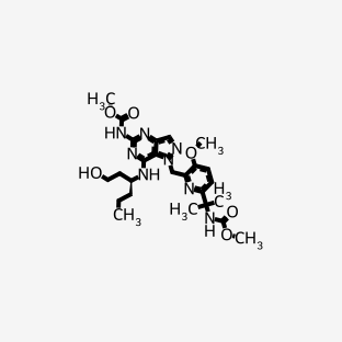 CCC[C@@H](CCO)Nc1nc(NC(=O)OC)nc2cnn(Cc3nc(C(C)(C)NC(=O)OC)ccc3OC)c12